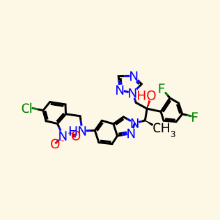 C[C@@H](n1cc2cc(NCc3ccc(Cl)cc3[N+](=O)[O-])ccc2n1)[C@](O)(Cn1cncn1)c1ccc(F)cc1F